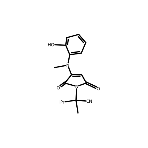 CC(C)C(C)(C#N)N1C(=O)C=C(N(C)c2ccccc2O)C1=O